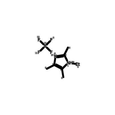 CC[NH+]1C(C)=NC(C)=C1C.F[B-](F)(F)F